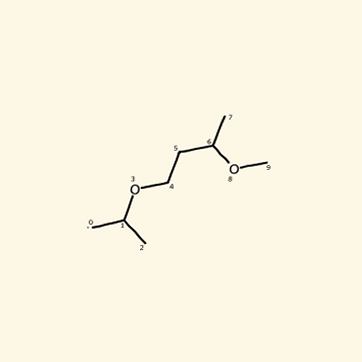 [CH2]C(C)OCCC(C)OC